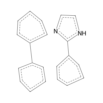 c1ccc(-c2ccccc2)cc1.c1ccc(-c2ncc[nH]2)cc1